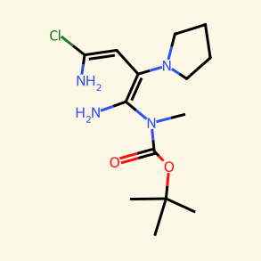 CN(C(=O)OC(C)(C)C)/C(N)=C(/C=C(\N)Cl)N1CCCC1